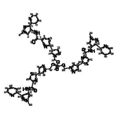 Cn1cc(NC(=O)c2csc(-c3cnn(COP(=O)(OCn4cc(-c5nc(C(=O)Nc6cn(C)nc6-c6ccccn6)cs5)cn4)OCn4cc(-c5nc(C(=O)Nc6cn(C)nc6-c6ccccn6)cs5)cn4)c3)n2)c(-c2ccccn2)n1